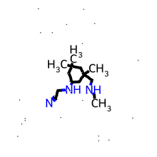 CCNCC1(C)CC(NCC#N)CC(C)(C)C1